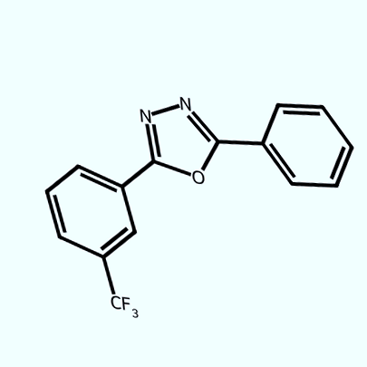 FC(F)(F)c1cccc(-c2nnc(-c3ccccc3)o2)c1